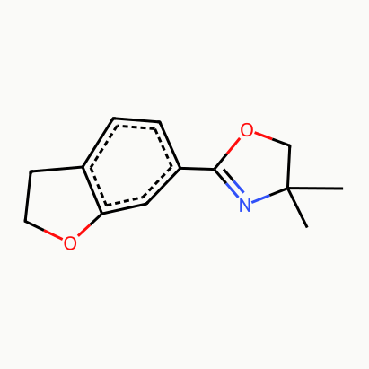 CC1(C)COC(c2ccc3c(c2)OCC3)=N1